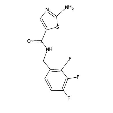 Nc1ncc(C(=O)NCc2ccc(F)c(F)c2F)s1